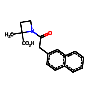 CC1(C(=O)O)CCN1C(=O)Cc1ccc2ccccc2c1